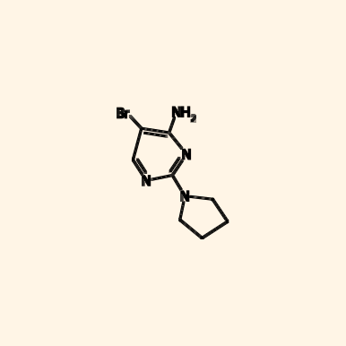 Nc1nc(N2CCCC2)ncc1Br